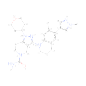 CNC(=O)N1CCc2c(c(N3CCCc4cc(-c5cnn(C)c5)c(C)cc43)nn2C2CCOCC2)C1